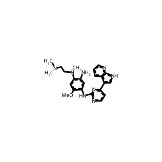 COc1cc(N(C)CCN(C)C)c(N)cc1Nc1nccc(-c2c[nH]c3ncccc23)n1